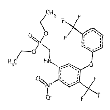 CCOP(=O)(CNc1cc(Oc2cccc(C(F)(F)F)c2)c(C(F)(F)F)cc1[N+](=O)[O-])OCC